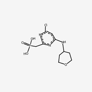 O=P(O)(O)Cc1nc(Cl)cc(NC2CCOCC2)n1